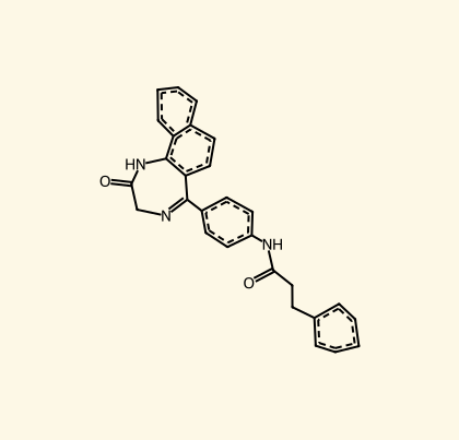 O=C(CCc1ccccc1)Nc1ccc(C2=NCC(=O)Nc3c2ccc2ccccc32)cc1